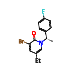 CCc1cc(Br)c(=O)n([C@@H](C)c2ccc(F)cc2)c1